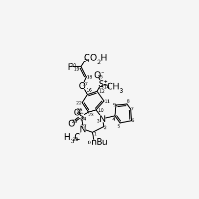 CCCCC1CN(c2ccccc2)c2cc([S+](C)[O-])c(O/C=C(\F)C(=O)O)cc2S(=O)(=O)N1C